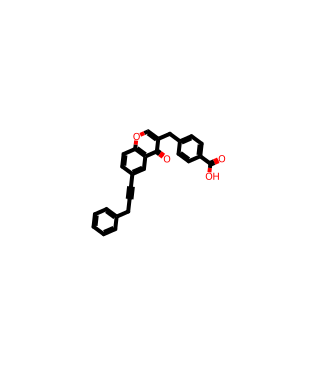 O=C(O)c1ccc(Cc2coc3ccc(C#CCc4ccccc4)cc3c2=O)cc1